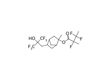 CC1(OC(=O)C(C)(F)C(C)(F)F)CC2CC1CC2CC(O)(C(F)(F)F)C(F)(F)F